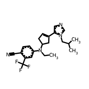 CCN(c1ccc(C#N)c(C(F)(F)F)c1)C1CC=C(c2cncn2CC(C)C)C1